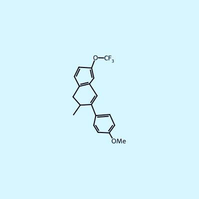 COc1ccc(C2=Cc3cc(OC(F)(F)F)ccc3CC2C)cc1